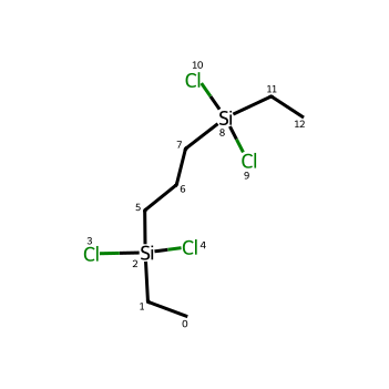 CC[Si](Cl)(Cl)CCC[Si](Cl)(Cl)CC